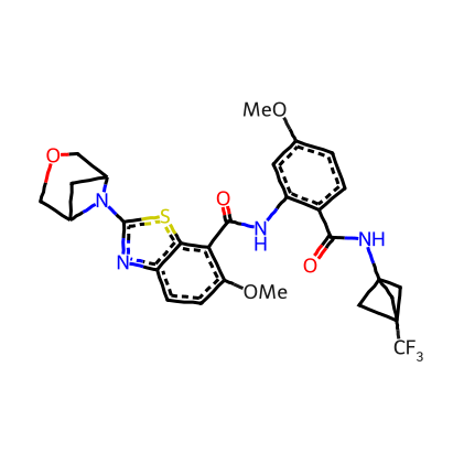 COc1ccc(C(=O)NC23CC(C(F)(F)F)(C2)C3)c(NC(=O)c2c(OC)ccc3nc(N4C5COCC4C5)sc23)c1